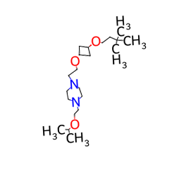 CC(C)OCCN1CCN(CCO[C@H]2C[C@H](OCCC(C)(C)C)C2)CC1